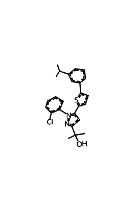 CC(C)c1cccc(-c2ccc(-c3cc(C(C)(C)O)nn3-c3ccccc3Cl)s2)c1